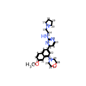 COc1ccc2cc(-c3ccnc(NCCN4CCCC4)n3)cc(N3CCOCC3)c2c1